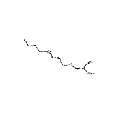 CCCCCCC(CCC)COCCCOCCCO